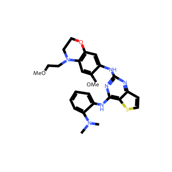 COCCN1CCOc2cc(Nc3nc(Nc4ccccc4N(C)C)c4sccc4n3)c(OC)cc21